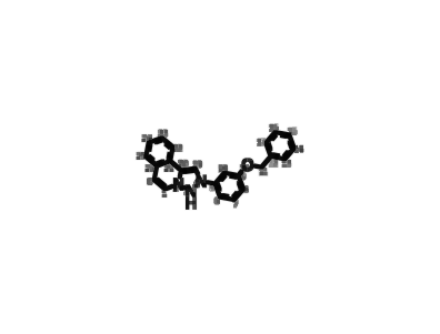 C1=CN2NN(c3cccc(OCc4ccccc4)c3)C=C2c2ccccc21